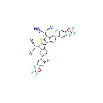 N#CC(C#N)=C1c2cc(-c3ccc(OC(F)(F)F)cc3F)ccc2-c2c1sc1c2-c2ccc(-c3ccc(OC(F)(F)F)cc3F)cc2/C1=C(\C#N)C1CN1